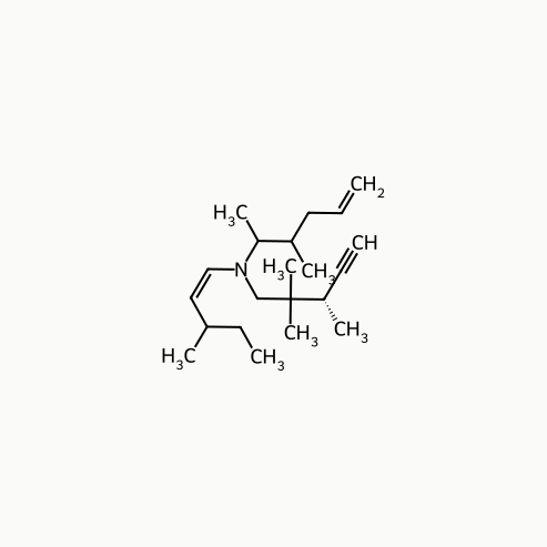 C#C[C@H](C)C(C)(C)CN(/C=C\C(C)CC)C(C)C(C)CC=C